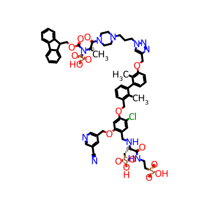 Cc1c(COc2cc(OCc3cncc(C#N)c3)c(CN[C@@H](CS(=O)(=O)O)C(=O)NCCS(=O)(=O)O)cc2Cl)cccc1-c1cccc(OCc2cn(CCCN3CCN(C(=O)[C@@H](C)N(C(=O)OCC4c5ccccc5-c5ccccc54)S(=O)(=O)O)CC3)nn2)c1C